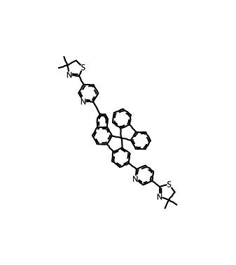 CC1(C)CSC(c2ccc(-c3ccc4c(c3)C3(c5ccccc5-c5ccccc53)c3c-4ccc4cc(-c5ccc(C6=NC(C)(C)CS6)cn5)ccc34)nc2)=N1